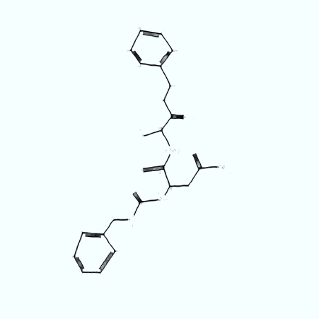 NC(=O)CC(NC(=O)OCc1ccccc1)C(=O)NC(Cl)C(=O)CCc1ccccc1